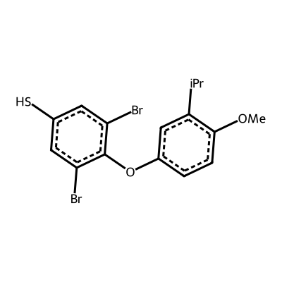 COc1ccc(Oc2c(Br)cc(S)cc2Br)cc1C(C)C